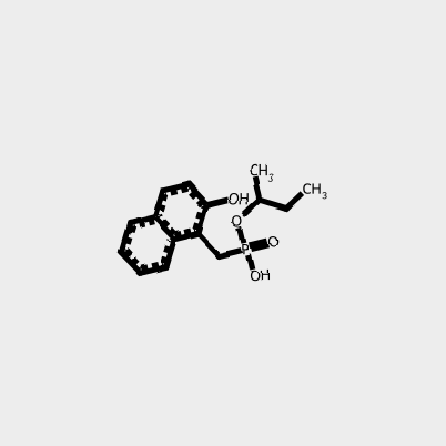 CCC(C)OP(=O)(O)Cc1c(O)ccc2ccccc12